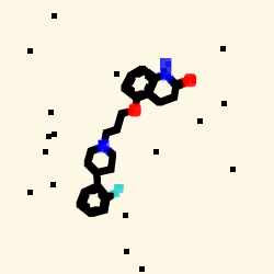 O=C1CCc2c(cccc2OCCCN2CCC(c3ccccc3F)CC2)N1